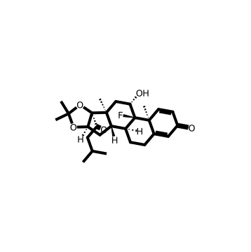 CC(C)CC(=O)[C@@]12OC(C)(C)O[C@@H]1C[C@H]1[C@@H]3CCC4=CC(=O)C=C[C@]4(C)[C@@]3(F)[C@@H](O)C[C@@]12C